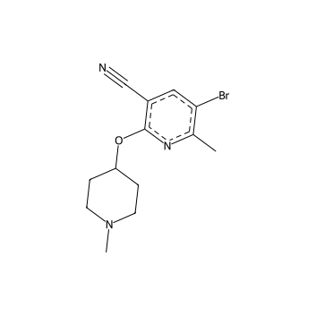 Cc1nc(OC2CCN(C)CC2)c(C#N)cc1Br